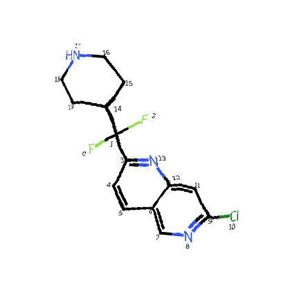 FC(F)(c1ccc2cnc(Cl)cc2n1)C1CCNCC1